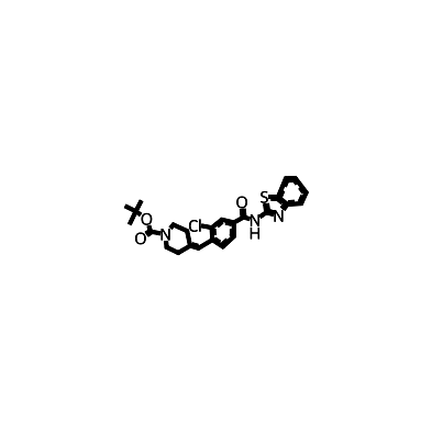 CC(C)(C)OC(=O)N1CCC(=Cc2ccc(C(=O)Nc3nc4ccccc4s3)cc2Cl)CC1